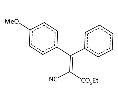 CCOC(=O)/C(C#N)=C(\c1ccccc1)c1ccc(OC)cc1